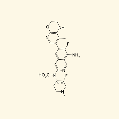 Cc1c(-c2cc3cc(N(C(=O)O)[C@H]4CCN(C)C[C@H]4F)ncc3c(N)c2F)cnc2c1NCCO2